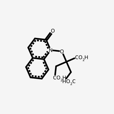 O=C(O)CC(CC(=O)O)(On1c(=O)ccc2ccccc21)C(=O)O